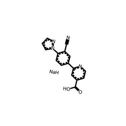 N#Cc1cc(-c2cc(C(=O)O)ccn2)ccc1-n1cccn1.[NaH]